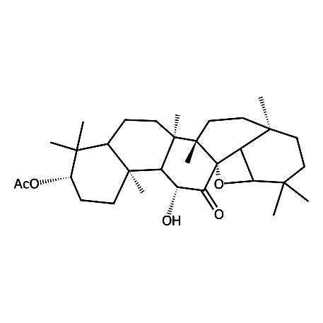 CC(=O)O[C@H]1CC[C@@]2(C)C(CC[C@]3(C)C2[C@@H](O)C(=O)[C@]24OC5C2[C@](C)(CCC5(C)C)CC[C@@]34C)C1(C)C